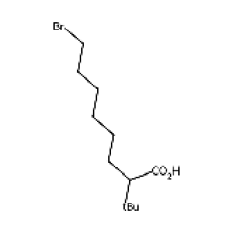 CC(C)(C)C(CCCCCCBr)C(=O)O